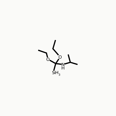 CCOC([SiH3])(NC(C)C)OCC